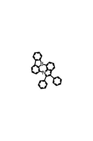 c1ccc(-c2c(-c3ccccc3)n3c4c(cccc24)B2c4ccccc4-c4cccc-3c42)cc1